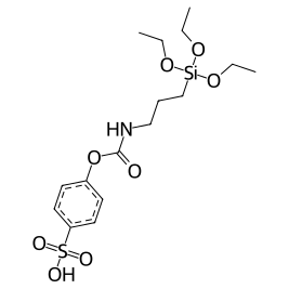 CCO[Si](CCCNC(=O)Oc1ccc(S(=O)(=O)O)cc1)(OCC)OCC